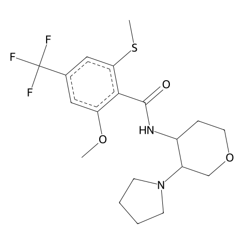 COc1cc(C(F)(F)F)cc(SC)c1C(=O)NC1CCOCC1N1CCCC1